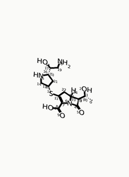 C[C@@H](O)[C@H]1C(=O)N2C(C(=O)O)=C(S[C@@H]3CN[C@H](C(O)CN)C3)C[C@H]12